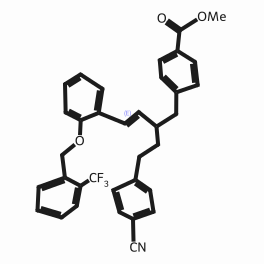 COC(=O)c1ccc(CC(/C=C/c2ccccc2OCc2ccccc2C(F)(F)F)CCc2ccc(C#N)cc2)cc1